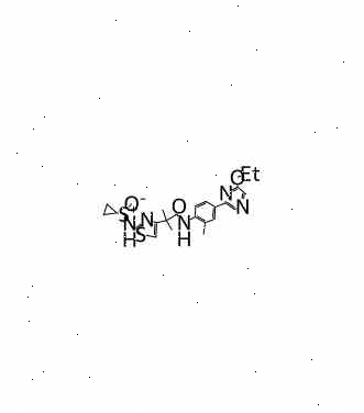 CCOc1cncc(-c2ccc(NC(=O)C(C)(C)c3csc(N[S+]([O-])C4CC4)n3)c(C)c2)n1